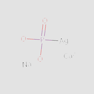 O=[P]([O-])([O-])[Ag-].[Ca+2].[Na+]